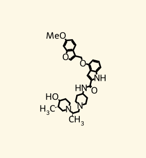 COc1ccc2c(COc3cccc4[nH]c(C(=O)NC5CCN(C[C@H](C)N6CC[C@H](O)[C@@H](C)C6)CC5)cc34)coc2c1